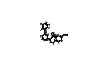 N#CN1CCN2CCN(c3cc(-c4ccccc4)ccn3)C(=O)[C@H]2C1